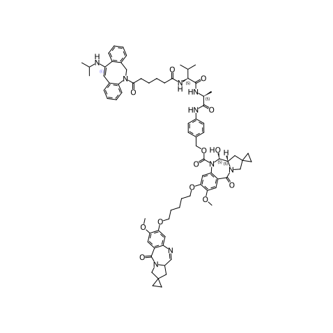 COc1cc2c(cc1OCCCCCOc1cc3c(cc1OC)C(=O)N1CC4(CC4)C[C@H]1[C@H](O)N3C(=O)OCc1ccc(NC(=O)[C@H](C)NC(=O)[C@@H](NC(=O)CCCCC(=O)N3Cc4ccccc4/C(NC(C)C)=C\c4ccccc43)C(C)C)cc1)N=CC1CC3(CC3)CN1C2=O